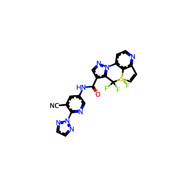 N#Cc1cc(NC(=O)c2cnn3c2C(F)(F)S2(F)C=Cc4nccc-3c42)cnc1-n1nccn1